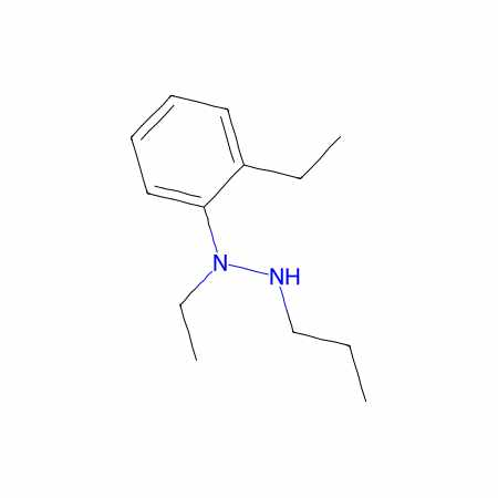 CCCNN(CC)c1ccccc1CC